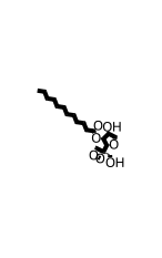 CCCCCCCCCCCC(=O)O[C@@H]1[C@@H](O)CO[C@@H]1[C@]1(CO)COO1